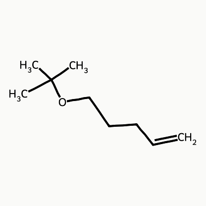 C=CCCCOC(C)(C)C